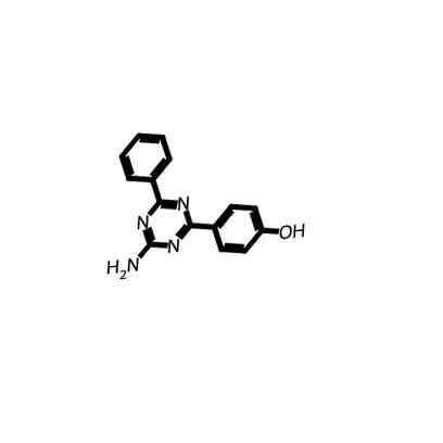 Nc1nc(-c2ccccc2)nc(-c2ccc(O)cc2)n1